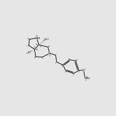 CCCCOc1ccc(CCN2CC[C@H]3CCN[C@H]3C2)cc1